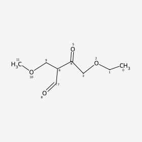 CCOCC(=O)C([C]=O)COC